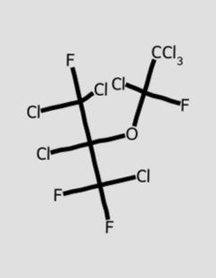 FC(F)(Cl)C(Cl)(OC(F)(Cl)C(Cl)(Cl)Cl)C(F)(Cl)Cl